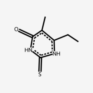 CCc1[nH]c(=S)[nH]c(=O)c1C